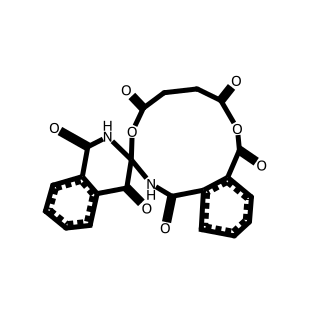 O=C1CCC(=O)OC2(NC(=O)c3ccccc3C(=O)O1)NC(=O)c1ccccc1C2=O